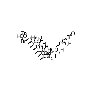 CC(=O)O.CC(=O)O.CC(=O)O.CC(=O)O.CC(=O)O.CC(=O)O.CC(=O)O.CC(=O)O.CCCCCCCBr.O.[O]=[Ti]=[O].[Zn]